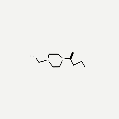 CC(=O)CCC(=O)N1CCN(CC(C)(C)C)CC1